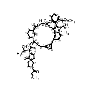 C=CC(=O)N1CC[C@@]2(CCN([C@H](C(=O)N[C@H]3Cc4nc(cs4)-c4ccc5c(c4)c(c(-c4cccnc4[C@H](C)OC)n5CC)CC(C)(C)COC(=O)[C@@H]4CCCN(N4)C3=O)C(C)C)C2=O)C1